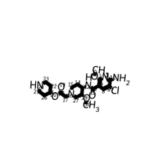 COc1nc(N)c(Cl)cc1C(=O)N[C@@H]1CCN(CC(=O)OC2CCNCC2)C[C@@H]1OC